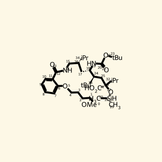 COCCCCOc1ccccc1C(=O)NC[C@@H](C[C@H](NC(=O)OC(C)(C)C)[C@@H](C[C@@](O[SiH](C)C)(C(=O)O)C(C)C)C(C)(C)C)C(C)C